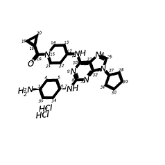 Cl.Cl.N[C@H]1CC[C@H](Nc2nc(NC3CCN(C(=O)C4CC4)CC3)c3ncn(C4CCCC4)c3n2)CC1